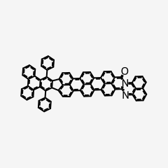 O=c1c2ccc3c4ccc5c6ccc7c8c(ccc(c9ccc(c%10ccc(c2c3%10)c2nc3cccc%10cccc(c%103)n12)c4c59)c86)-c1c-7c(-c2ccccc2)c2c3ccccc3c3ccccc3c2c1-c1ccccc1